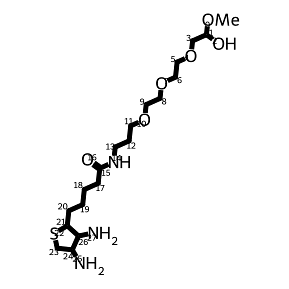 COC(O)COCCOCCOCCCNC(=O)CCCCC1SCC(N)C1N